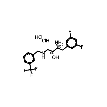 Cl.Cl.N[C@@H](Cc1cc(F)cc(F)c1)[C@H](O)CNCc1cccc(C(F)(F)F)c1